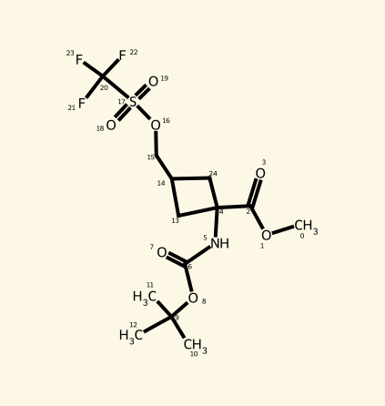 COC(=O)C1(NC(=O)OC(C)(C)C)CC(COS(=O)(=O)C(F)(F)F)C1